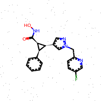 O=C(NO)[C@@H]1[C@H](c2ccccc2)[C@H]1c1cnn(Cc2ccc(F)cn2)c1